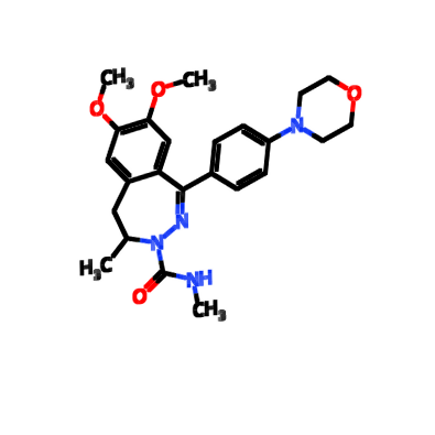 CNC(=O)N1N=C(c2ccc(N3CCOCC3)cc2)c2cc(OC)c(OC)cc2CC1C